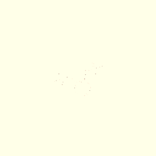 CS(=O)(=O)Nc1ccccc1OS(C)(=O)=O